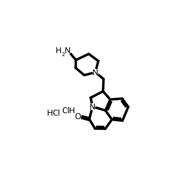 Cl.Cl.NC1CCN(CC2Cn3c(=O)ccc4cccc2c43)CC1